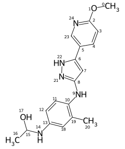 COc1ccc(-c2cc(Nc3ccc(NC(C)O)cc3C)n[nH]2)cn1